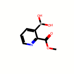 COC(=O)c1ncccc1B(O)O